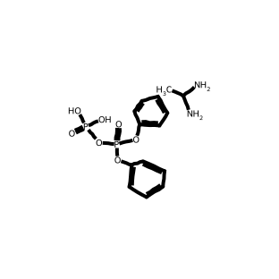 CC(N)N.O=P(O)(O)OP(=O)(Oc1ccccc1)Oc1ccccc1